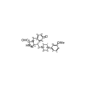 COc1cccc(N2CCN(CCC3=NNC(C=O)N3Cc3ccc(Cl)cc3)CC2)c1